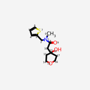 CN(Cc1cccs1)C(=O)CC1(O)CCOCC1